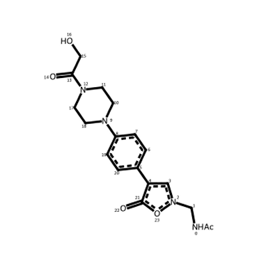 CC(=O)NCn1cc(-c2ccc(N3CCN(C(=O)CO)CC3)cc2)c(=O)o1